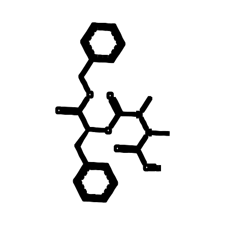 CC(C)COC(=O)N(C)N(C)C(=O)O[C@@H](Cc1ccccc1)C(=O)OCc1ccccc1